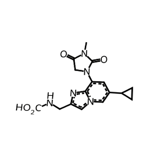 CN1C(=O)CN(c2cc(C3CC3)cn3cc(CNC(=O)O)nc23)C1=O